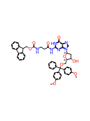 COc1ccc(C(OC[C@H]2O[C@@H](n3cnc4c(=O)[nH]c(NC(=O)CCNC(=O)OCC5c6ccccc6-c6ccccc65)nc43)CC2O)(c2ccccc2)c2ccc(OC)cc2)cc1